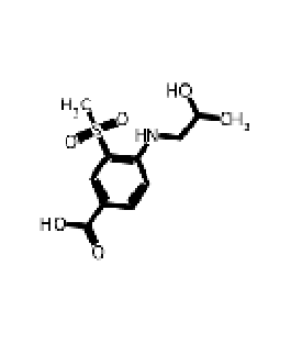 CC(O)CNc1ccc(C(=O)O)cc1S(C)(=O)=O